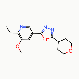 CCc1ncc(-c2nnc(C3CCOCC3)o2)cc1OC